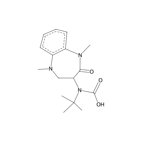 CN1CC(N(C(=O)O)C(C)(C)C)C(=O)N(C)c2ccccc21